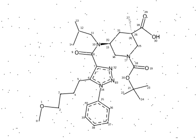 COCCCCc1c(C(=O)N(CC(C)C)[C@@H]2CN(C(=O)OC(C)(C)C)C[C@](C)(C(=O)O)C2)nnn1-c1ccccc1